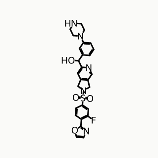 O=S(=O)(c1ccc(-c2ncco2)c(F)c1)N1Cc2cnc(C(O)c3cccc(N4CCNCC4)c3)cc2C1